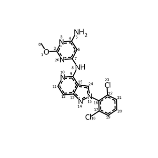 COc1nc(N)cc(Nc2nccc3nn(-c4c(Cl)cccc4Cl)cc23)n1